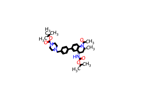 CC(=O)N1c2ccc(-c3ccc(CN4CCN(C(=O)OC(C)(C)C)CC4)cc3)cc2[C@@H](NC(=O)OC(C)C)C[C@H]1C